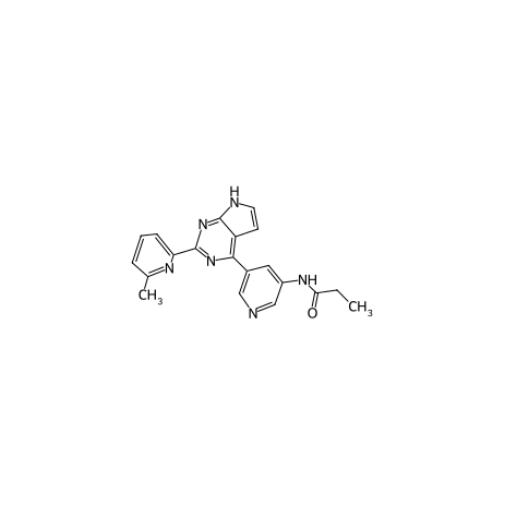 CCC(=O)Nc1cncc(-c2nc(-c3cccc(C)n3)nc3[nH]ccc23)c1